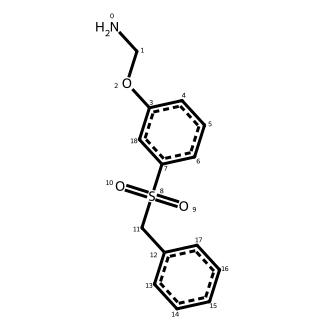 NCOc1cccc(S(=O)(=O)Cc2ccccc2)c1